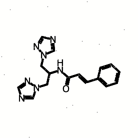 O=C(/C=C/c1ccccc1)NC(Cn1cncn1)Cn1cncn1